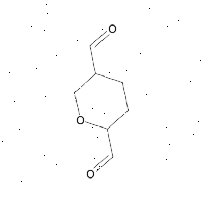 O=CC1CCC(C=O)OC1